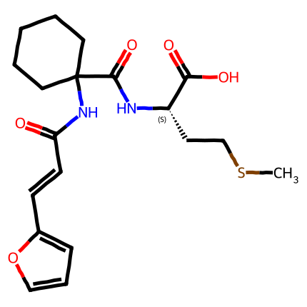 CSCC[C@H](NC(=O)C1(NC(=O)C=Cc2ccco2)CCCCC1)C(=O)O